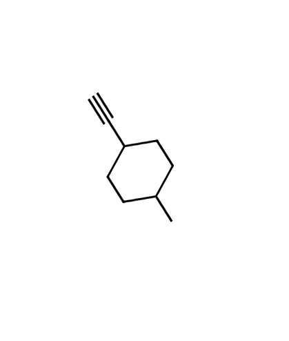 C#CC1CCC(C)CC1